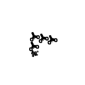 CC(=O)[O-].CC(=O)[O-].CC(=O)[O-].CC(=O)[O-].[Ag+].[Ir+3]